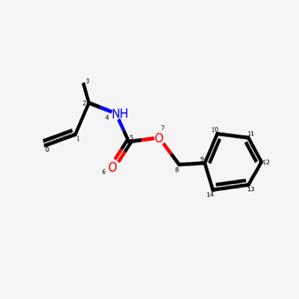 C=CC(C)NC(=O)OCc1ccccc1